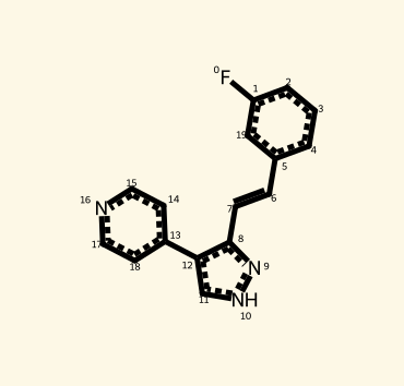 Fc1cccc(/C=C/c2n[nH]cc2-c2ccncc2)c1